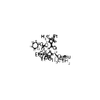 CCOP(COC(=O)OC1CCCCC1)(OCC)(OCC)N1C(=O)[C@@H](CCO[Si](C)(C)C(C)(C)C)[C@H]1CC(=O)c1cc(C)n(CC)n1